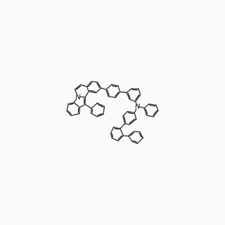 c1ccc(-c2ccccc2-c2ccc(N(c3ccccc3)c3cccc(-c4ccc(-c5ccc6ccn7c8ccccc8c(-c8ccccc8)c7c6c5)cc4)c3)cc2)cc1